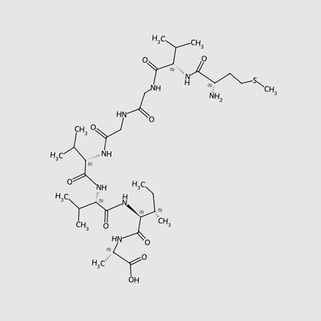 CC[C@H](C)[C@H](NC(=O)[C@@H](NC(=O)[C@@H](NC(=O)CNC(=O)CNC(=O)[C@@H](NC(=O)[C@@H](N)CCSC)C(C)C)C(C)C)C(C)C)C(=O)N[C@@H](C)C(=O)O